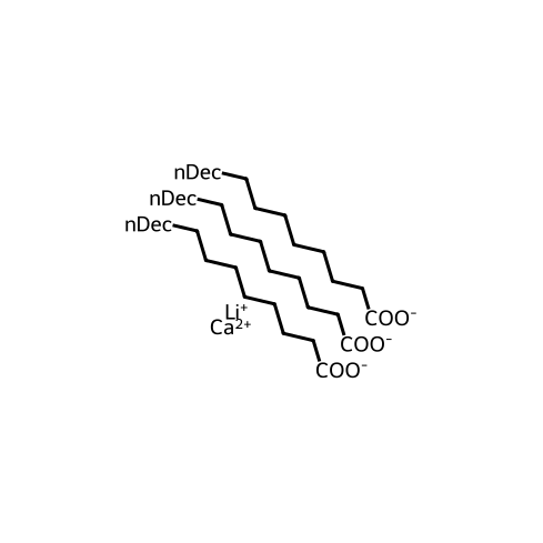 CCCCCCCCCCCCCCCCCC(=O)[O-].CCCCCCCCCCCCCCCCCC(=O)[O-].CCCCCCCCCCCCCCCCCC(=O)[O-].[Ca+2].[Li+]